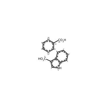 O=C(O)c1c[nH]c2ccccc12.O=C(O)c1cnccn1